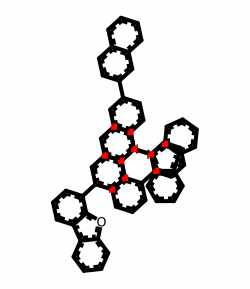 c1ccc(-c2ccccc2-n2c3ccccc3c3ccccc32)c(-c2ccccc2N(c2ccc(-c3ccc4ccccc4c3)cc2)c2ccc(-c3cccc4c3oc3ccccc34)cc2)c1